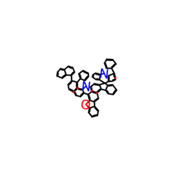 c1ccc(-c2cccc3ccccc23)c(-c2ccccc2N(c2ccc3c(c2)C2(c4ccccc4-3)c3ccccc3-n3c4ccccc4c4cccc2c43)c2ccccc2-c2cccc3c2oc2ccccc23)c1